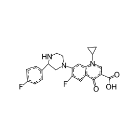 O=C(O)c1cn(C2CC2)c2cc(N3CCNC(c4ccc(F)cc4)C3)c(F)cc2c1=O